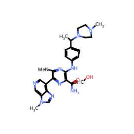 CNc1nc(Nc2ccc(C(C)N3CCN(C)CC3)cc2)c(C(N)=O)nc1-c1cncc2c1ncn2C.O=CO